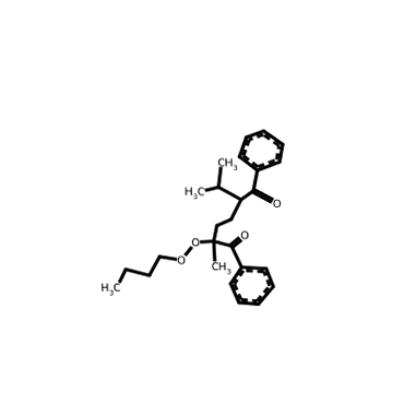 CCCCOOC(C)(CCC(C(=O)c1ccccc1)C(C)C)C(=O)c1ccccc1